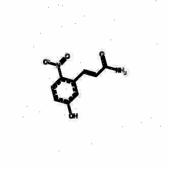 NC(=O)C=Cc1cc(O)ccc1[N+](=O)[O-]